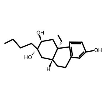 CCCC[C@]1(O)C[C@H]2CCc3cc(O)ccc3[C@]2(CC)C[C@@H]1O